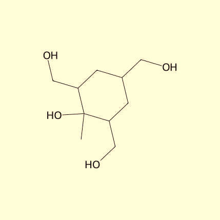 CC1(O)C(CO)CC(CO)CC1CO